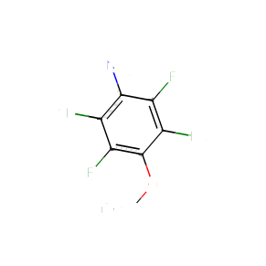 CCCC(C)Oc1c(F)c(F)c(N)c(F)c1F